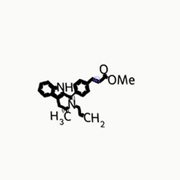 C=CCN1[C@H](c2ccc(/C=C/C(=O)OC)cc2)c2[nH]c3ccccc3c2C[C@H]1C